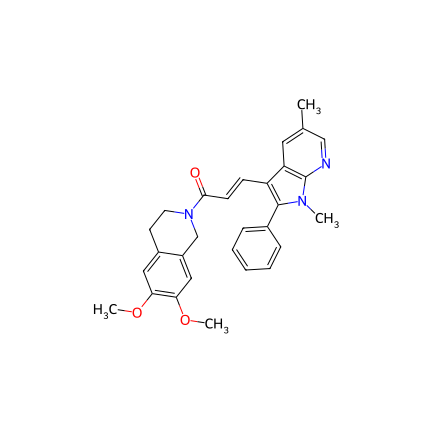 COc1cc2c(cc1OC)CN(C(=O)/C=C/c1c(-c3ccccc3)n(C)c3ncc(C)cc13)CC2